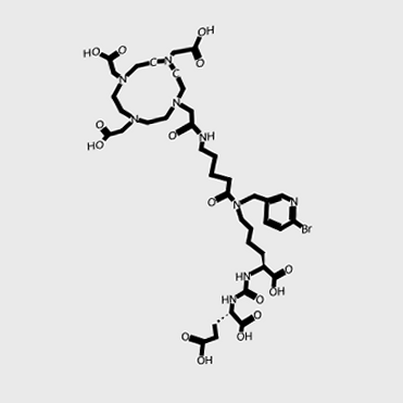 O=C(O)CC[C@H](NC(=O)N[C@@H](CCCCN(Cc1ccc(Br)nc1)C(=O)CCCCNC(=O)CN1CCN(CC(=O)O)CCN(CC(=O)O)CCN(CC(=O)O)CC1)C(=O)O)C(=O)O